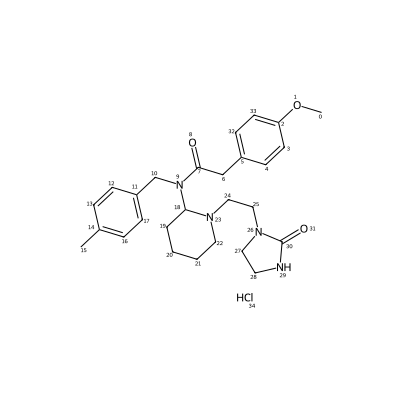 COc1ccc(CC(=O)N(Cc2ccc(C)cc2)C2CCCCN2CCN2CCNC2=O)cc1.Cl